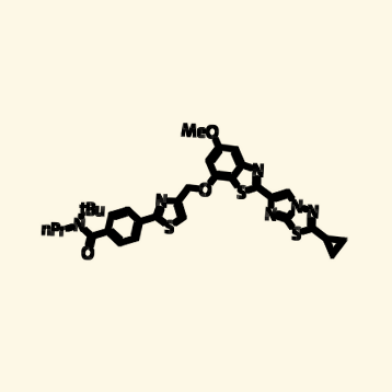 CCCN(C(=O)c1ccc(-c2nc(COc3cc(OC)cc4nc(-c5cn6nc(C7CC7)sc6n5)sc34)cs2)cc1)C(C)(C)C